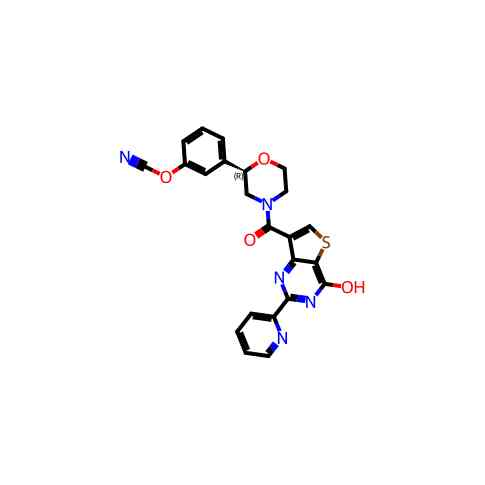 N#COc1cccc([C@@H]2CN(C(=O)c3csc4c(O)nc(-c5ccccn5)nc34)CCO2)c1